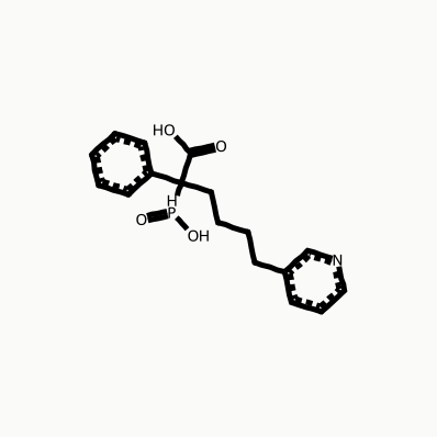 O=C(O)C(CCCCc1cccnc1)(c1ccccc1)[PH](=O)O